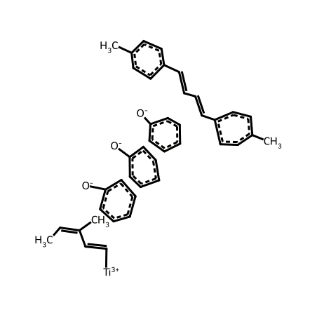 CC=C(C)C=[CH][Ti+3].Cc1ccc(C=CC=Cc2ccc(C)cc2)cc1.[O-]c1ccccc1.[O-]c1ccccc1.[O-]c1ccccc1